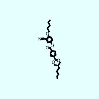 CCCCCOc1ccc(OC(=O)c2ccc(C3OCC(CCCCC)CO3)cc2)cc1C#N